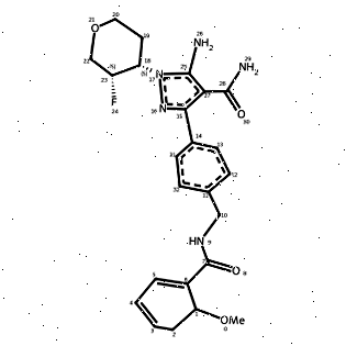 COC1CC=CC=C1C(=O)NCc1ccc(-c2nn([C@H]3CCOC[C@H]3F)c(N)c2C(N)=O)cc1